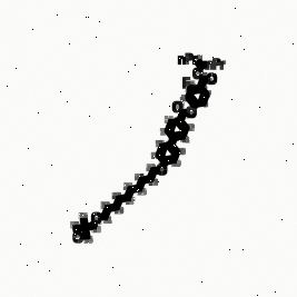 CCCC(CCC)OC(=O)c1ccc(OC(=O)c2ccc(-c3ccc(OCCCCCCCCCCOCC4(C)COC4)cc3)cc2)cc1F